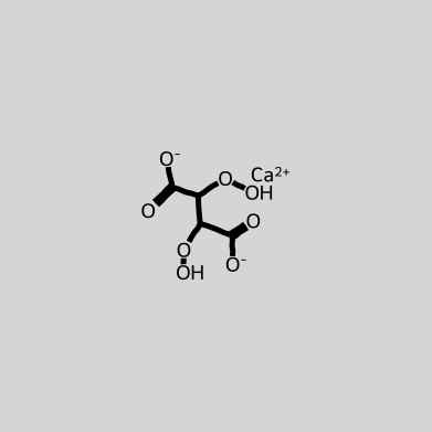 O=C([O-])C(OO)C(OO)C(=O)[O-].[Ca+2]